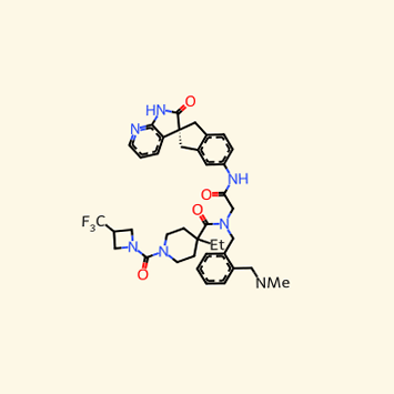 CCC1(C(=O)N(CC(=O)Nc2ccc3c(c2)C[C@@]2(C3)C(=O)Nc3ncccc32)Cc2ccccc2CNC)CCN(C(=O)N2CC(C(F)(F)F)C2)CC1